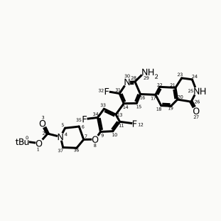 CC(C)(C)OC(=O)N1CCC(Oc2cc(F)c(-c3cc(-c4ccc5c(c4)CCNC5=O)c(N)nc3F)cc2F)CC1